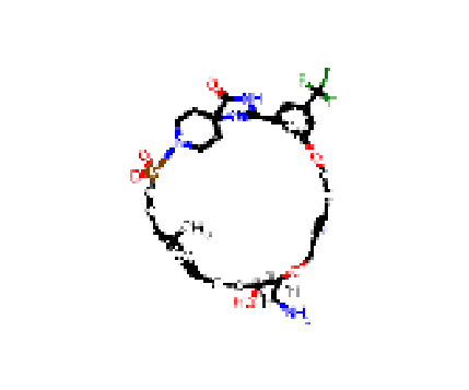 Cc1cc2ccc1CCS(=O)(=O)N1CCC3(CC1)N=C(NC3=O)c1cc(cc(C(F)(F)F)c1)OCC/C=C/CO[C@@H](CN)[C@@H](O)CC2